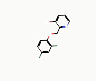 Clc1ccc(OCc2ncccc2Br)c(Cl)c1